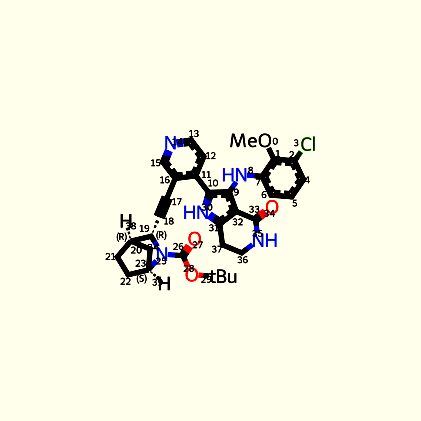 COc1c(Cl)cccc1Nc1c(-c2ccncc2C#C[C@H]2[C@@H]3CC[C@@H](C3)N2C(=O)OC(C)(C)C)[nH]c2c1C(=O)NCC2